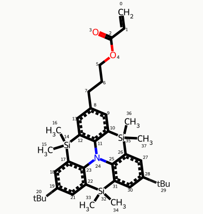 C=CC(=O)OCCCc1cc2c3c(c1)[Si](C)(C)c1cc(C(C)(C)C)cc4c1N3c1c(cc(C(C)(C)C)cc1[Si]4(C)C)[Si]2(C)C